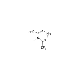 CN1C(C=O)=CNC=C1C(F)(F)F